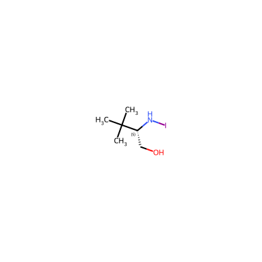 CC(C)(C)[C@@H](CO)NI